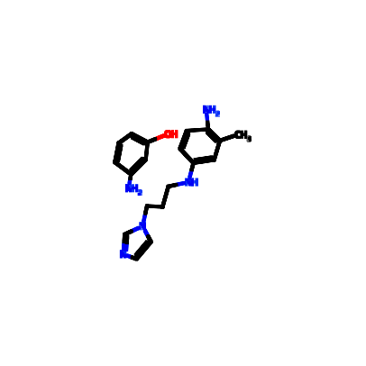 Cc1cc(NCCCn2ccnc2)ccc1N.Nc1cccc(O)c1